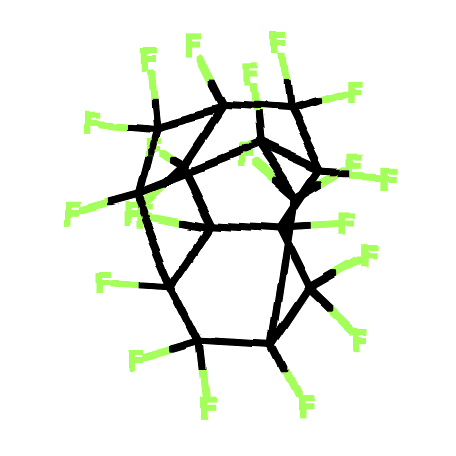 FC1(F)C2(F)C(F)(F)C3(F)C4(F)C(F)(F)C5(F)C(F)(F)C(F)(C14F)C(F)(C2(F)F)C3(F)C5(F)F